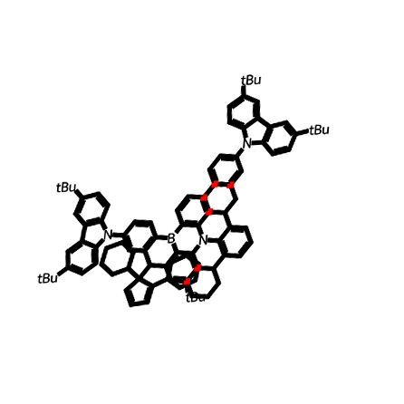 CC(C)(C)c1cc2c3c(c1)N(c1c(C4CCCCC4)cccc1C1CCCCC1)c1cc(-c4ccc(-n5c6ccc(C(C)(C)C)cc6c6cc(C(C)(C)C)ccc65)cc4)ccc1B3c1ccc(-n3c4ccc(C(C)(C)C)cc4c4cc(C(C)(C)C)ccc43)cc1C2C1(C2CCCCC2)C=CC=C1C1CCCCC1